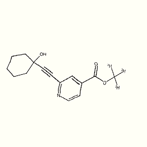 [2H]C([2H])([2H])OC(=O)c1ccnc(C#CC2(O)CCCCC2)c1